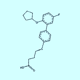 O=C(O)CCCSc1ccc(-c2cc(F)ccc2OC2CCCC2)cc1